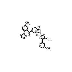 Cc1cccc(-c2nc(N3C[C@@H]4CCN(C(=O)c5cc(C)ccc5-n5nccn5)C[C@H]43)oc2C)c1